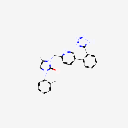 CCCc1cn(-c2ccccc2CC)c(=O)n1Cc1ccc(-c2ccccc2-c2nnn[nH]2)cn1